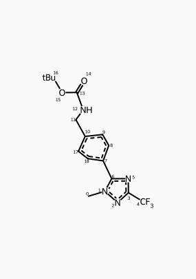 Cn1nc(C(F)(F)F)nc1-c1ccc(CNC(=O)OC(C)(C)C)cc1